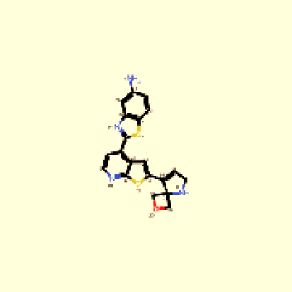 Nc1ccc2sc(-c3ccnc4sc(C5=CCNC56COC6)cc34)nc2c1